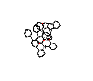 c1ccc(-c2ccc(-c3ccccc3N(c3ccc4c(c3)C3(c5ccccc5-4)c4ccccc4-n4c5ccccc5c5cccc3c54)c3ccccc3-c3ccc(-c4ccccc4)cc3)cc2)cc1